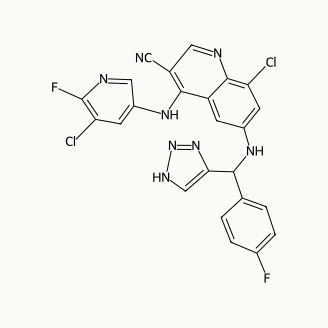 N#Cc1cnc2c(Cl)cc(NC(c3ccc(F)cc3)c3c[nH]nn3)cc2c1Nc1cnc(F)c(Cl)c1